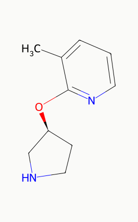 Cc1cccnc1O[C@H]1CCNC1